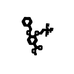 COC(=O)c1ccc(OCc2ccccc2)c(OCCC(F)(F)F)c1